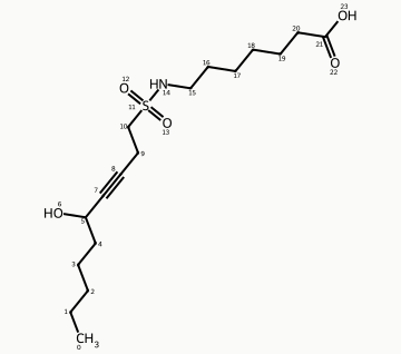 CCCCCC(O)C#CCCS(=O)(=O)NCCCCCCC(=O)O